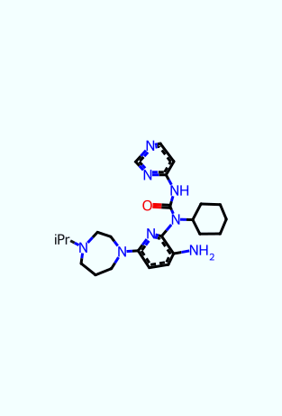 CC(C)N1CCCN(c2ccc(N)c(N(C(=O)Nc3ccncn3)C3CCCCC3)n2)CC1